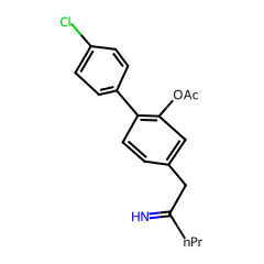 CCCC(=N)Cc1ccc(-c2ccc(Cl)cc2)c(OC(C)=O)c1